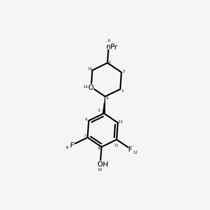 CCCC1CC[C@@H](c2cc(F)c(O)c(F)c2)OC1